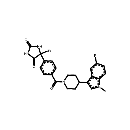 CC(C)C1(c2ccc(C(=O)N3CCC(c4cn(C)c5ccc(F)cc45)CC3)cc2)NC(=O)NC1=O